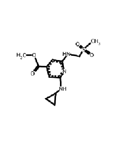 COC(=O)c1cc(NCS(C)(=O)=O)nc(NC2CC2)c1